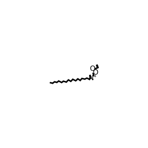 C=CC(=O)OCC[N+](C)(C)CCCCCCCCCCCCCCCCCC